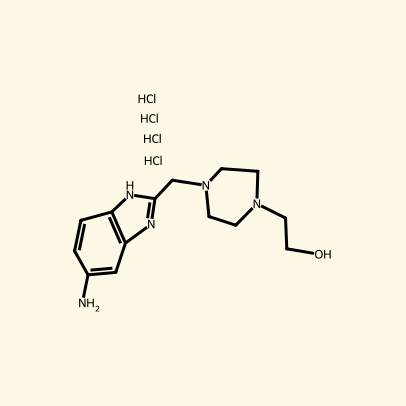 Cl.Cl.Cl.Cl.Nc1ccc2[nH]c(CN3CCN(CCO)CC3)nc2c1